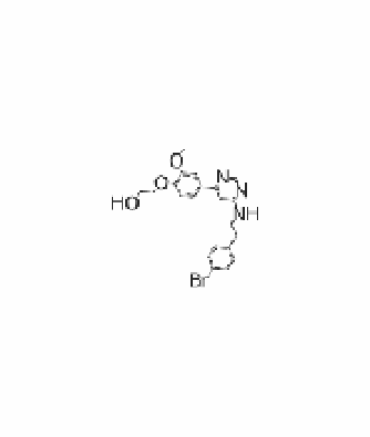 COc1cc(-c2cc(NCCc3ccc(Br)cc3)ncn2)ccc1OCCO